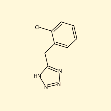 Clc1ccccc1[CH]c1nnn[nH]1